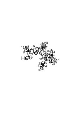 CC[C@H](C)[C@H](CC(CC(=O)O)O[Si](C)(C)C(C)(C)C)OC(=O)C[C@H](C[C@H](O[C@@H]1O[C@@H](CO[Si](C)(C)C(C)(C)C)C(O[Si](C)(C)C(C)(C)C)C1O[Si](C)(C)C(C)(C)C)[C@@H](C)CC)O[Si](C)(C)C(C)(C)C